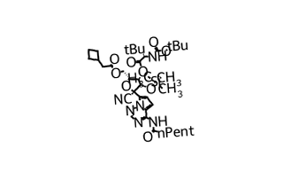 CCCCCC(=O)Nc1ncnn2c([C@]3(C#N)O[C@H](COC(=O)CC4CCC4)[C@@H](OC(=O)[C@@H](NC(=O)OC(C)(C)C)C(C)(C)C)[C@H]3O[Si](C)(C)C)ccc12